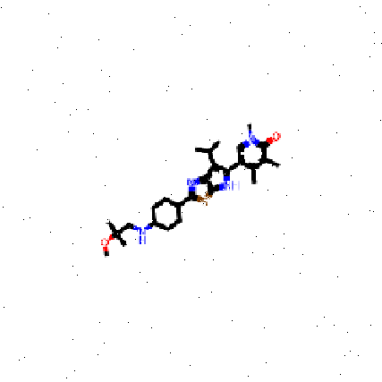 COC(C)(C)CNC1CCC(c2nc3c(C(C)C)c(-c4cn(C)c(=O)c(C)c4C)[nH]c3s2)CC1